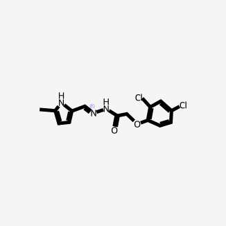 Cc1ccc(/C=N/NC(=O)COc2ccc(Cl)cc2Cl)[nH]1